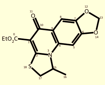 CCOC(=O)c1c2n(c3cc4c(cc3c1=O)OCO4)C(C)CS2